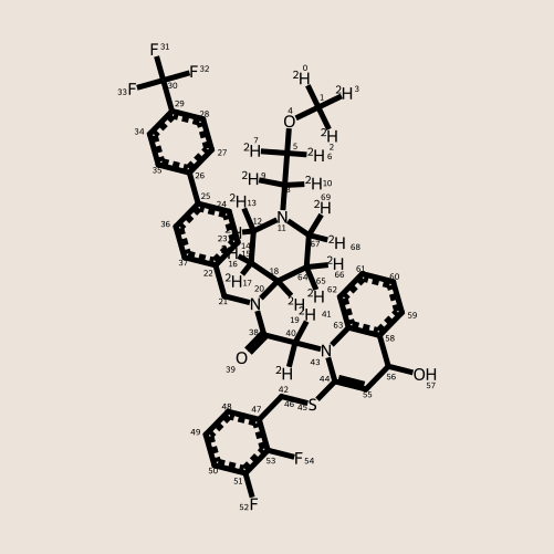 [2H]C([2H])([2H])OC([2H])([2H])C([2H])([2H])N1C([2H])([2H])C([2H])([2H])C([2H])(N(Cc2ccc(-c3ccc(C(F)(F)F)cc3)cc2)C(=O)C([2H])([2H])N2C(SCc3cccc(F)c3F)=CC(O)c3ccccc32)C([2H])([2H])C1([2H])[2H]